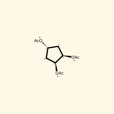 CC(=O)O[C@H]1C[C@H](OC(C)=O)[C@H](OC(C)=O)C1